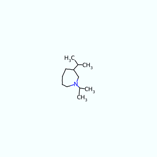 CC(C)C1CCCCN(C(C)C)C1